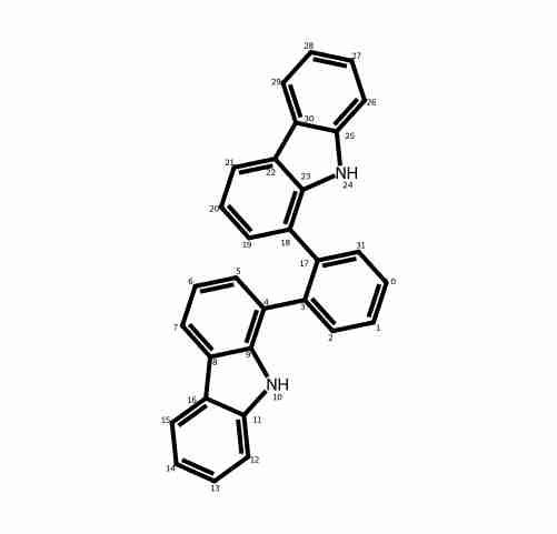 [c]1ccc(-c2cccc3c2[nH]c2ccccc23)c(-c2cccc3c2[nH]c2ccccc23)c1